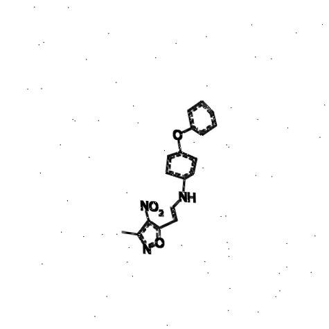 Cc1noc(/C=C/Nc2ccc(Oc3ccccc3)cc2)c1[N+](=O)[O-]